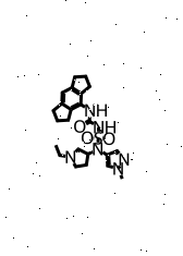 CCN1CCC(N(c2cnn(C)c2)S(=O)(=O)NC(=O)Nc2c3c(cc4c2CCC4)CCC3)C1